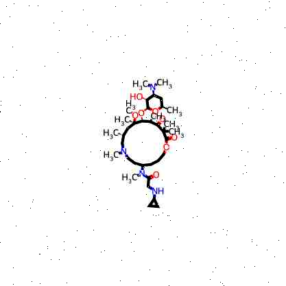 CO[C@]1(C)C[C@@H](C)CN(C)CCC(N(C)C(=O)CNC2CC2)CCCOC(=O)C(C)(C)C(=O)[C@H](C)[C@H]1O[C@@H]1O[C@H](C)C[C@H](N(C)C)[C@H]1O